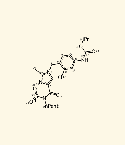 CCCCCN(C(=O)c1cn(Cc2ccc(NC(=O)OC(C)C)cc2Cl)c(C)n1)[SH](=O)=O